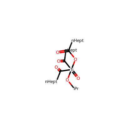 CCCCCCCC(=O)[O][Ti](=[O])([O]C(C)C)([C](=O)CCCCCCC)[C](=O)CCCCCCC